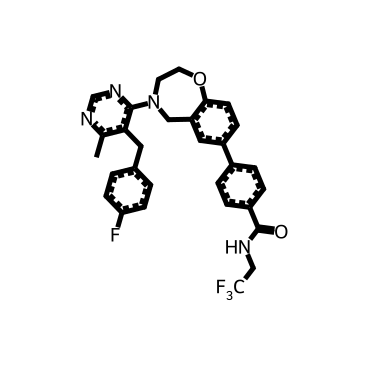 Cc1ncnc(N2CCOc3ccc(-c4ccc(C(=O)NCC(F)(F)F)cc4)cc3C2)c1Cc1ccc(F)cc1